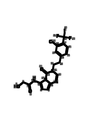 O=C(CO)Nc1ccc2ncn(CCc3ccc(C(F)(F)F)c(Cl)c3)c(=O)n12